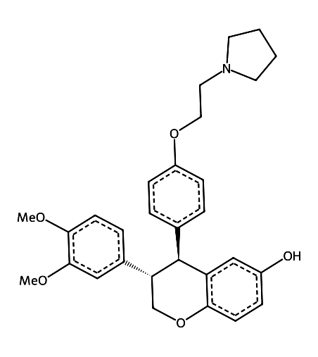 COc1ccc([C@H]2COc3ccc(O)cc3[C@@H]2c2ccc(OCCN3CCCC3)cc2)cc1OC